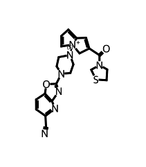 N#Cc1ccc2oc(N3CCN([N@@+]45C=CC=C4C=C(C(=O)N4CCSC4)C5)CC3)nc2n1